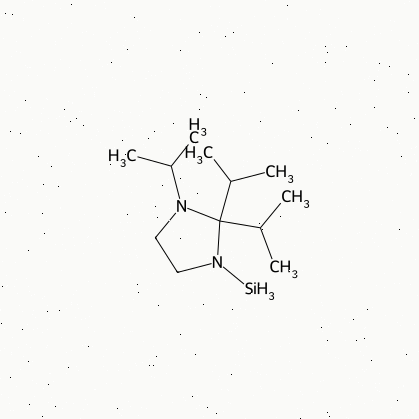 CC(C)N1CCN([SiH3])C1(C(C)C)C(C)C